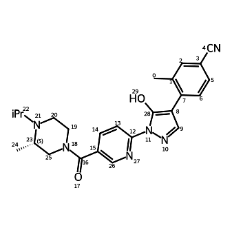 Cc1cc(C#N)ccc1-c1cnn(-c2ccc(C(=O)N3CCN(C(C)C)[C@@H](C)C3)cn2)c1O